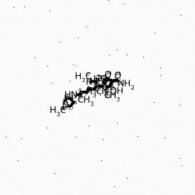 C=IC(=O)I(C/C=C/C=C(\C)NC1CCN(C)CC1)CI1(C)(O)C(=O)C(C(N)=O)=C(O)[C@H]1N(C)C